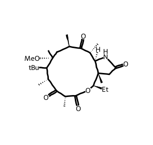 CC[C@H]1OC(=O)[C@H](C)C(=O)[C@H](C)C(C(C)(C)C)[C@](C)(OC)C[C@@H](C)C(=O)[C@H](C)[C@H]2NC(=O)C[C@@]21C